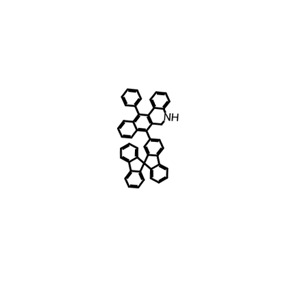 c1ccc(-c2c3c(c(-c4ccc5c(c4)C4(c6ccccc6-c6ccccc64)c4ccccc4-5)c4ccccc24)CNc2ccccc2-3)cc1